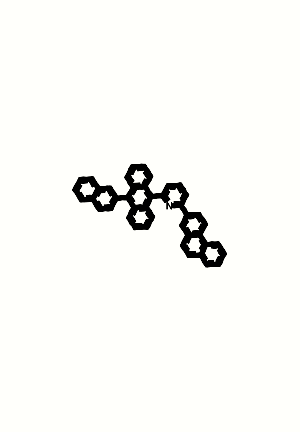 c1cc(-c2ccc3c(ccc4ccccc43)c2)nc(-c2c3ccccc3c(-c3ccc4ccccc4c3)c3ccccc23)c1